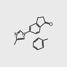 Cc1ccccc1.Cc1cn(-c2ccc3c(c2)CCC3=O)cn1